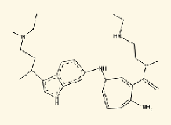 C=C(C1=CC(Nc2ccc3c(C(C)CCN(C)CC)c[nH]c3c2)C=CC=C1N)C(C)CCNCC